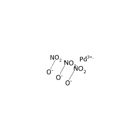 O=[N+]([O-])[O-].O=[N+]([O-])[O-].O=[N+]([O-])[O-].[Pd+3]